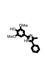 COc1cc(-c2nc(C)c(-c3ccccc3)[nH]2)cc(OC)c1O